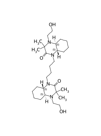 CC1(C)C(=O)N(CCCCN2C(=O)C(C)(C)N(CCO)[C@H]3CCCC[C@@H]32)[C@H]2CCCC[C@@H]2N1CCO